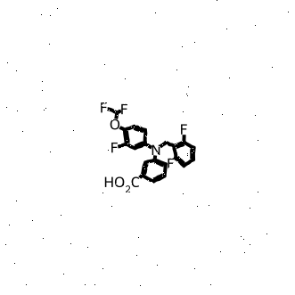 O=C(O)c1cccc(N(Cc2c(F)cccc2F)c2ccc(OC(F)F)c(F)c2)c1